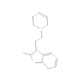 Brc1oc2ccccc2c1CCN1CC=CCC1